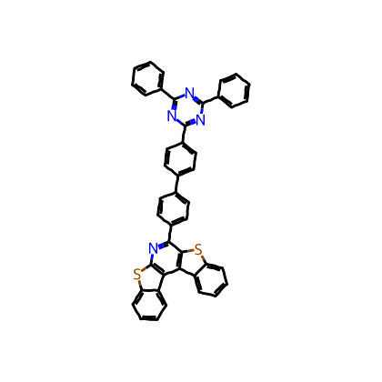 c1ccc(-c2nc(-c3ccccc3)nc(-c3ccc(-c4ccc(-c5nc6sc7ccccc7c6c6c5sc5ccccc56)cc4)cc3)n2)cc1